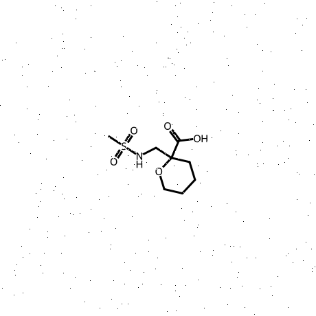 CS(=O)(=O)NCC1(C(=O)O)CCCCO1